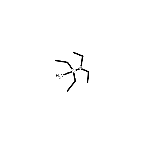 CCN(CC)[Si](N)(CC)CC